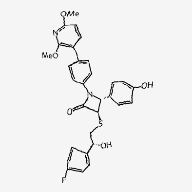 COc1ccc(-c2ccc(N3C(=O)[C@H](SC[C@H](O)c4ccc(F)cc4)[C@H]3c3ccc(O)cc3)cc2)c(OC)n1